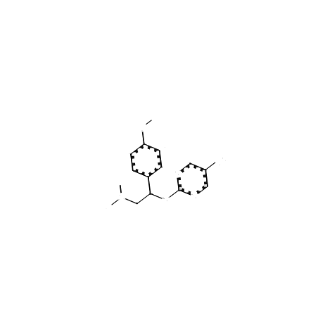 CC(C)(C)N(CC(Nc1ncc(C#N)cn1)c1ccc(OC(F)(F)F)cc1)C(=O)O